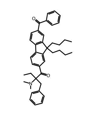 CCCCC1(CCCC)c2cc(C(=O)c3ccccc3)ccc2-c2ccc(C(=O)C(CC)(Cc3ccccc3)N(C)C)cc21